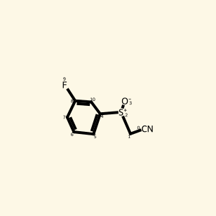 N#CC[S+]([O-])c1cccc(F)c1